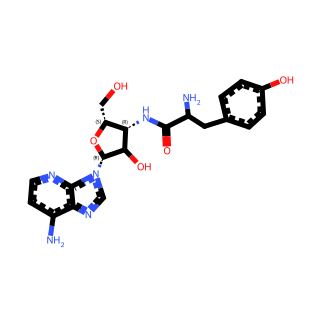 Nc1ccnc2c1ncn2[C@@H]1O[C@H](CO)[C@H](NC(=O)C(N)Cc2ccc(O)cc2)C1O